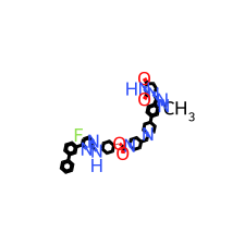 Cn1nc(N2CCC(=O)NC2=O)c2ccc(C3CCN(CC4CCN(C(=O)O[C@H]5CC[C@H](Nc6ncc(F)c(-c7cccc(-c8ccccc8)c7)n6)CC5)CC4)CC3)cc21